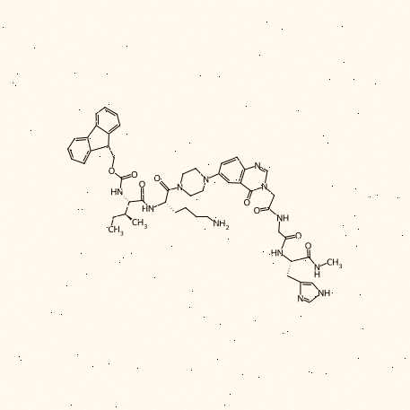 CC[C@H](C)[C@H](NC(=O)OCC1c2ccccc2-c2ccccc21)C(=O)N[C@@H](CCCCN)C(=O)N1CCN(c2ccc3ncn(CC(=O)NCC(=O)N[C@@H](Cc4c[nH]cn4)C(=O)NC)c(=O)c3c2)CC1